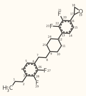 CCCc1ccc(CCC2CCC(c3ccc(C4CO4)c(F)c3F)CC2)c(F)c1F